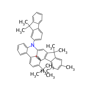 Cc1cc(C)c2c(c1)C(C)(C)c1cc(N(c3ccc4c(c3)C(C)(C)c3ccccc3-4)c3ccccc3-c3ccc(C(C)(C)C)cc3)ccc1-2